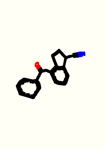 N#CC1CCc2c(C(=O)c3ccccc3)cccc21